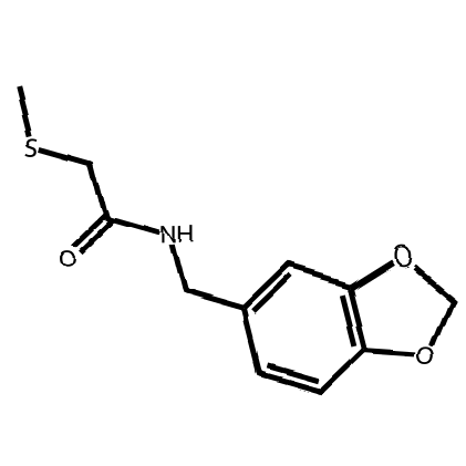 CSCC(=O)NCc1ccc2c(c1)OCO2